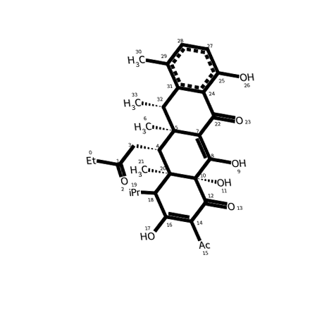 CCC(=O)C[C@@H]1[C@]2(C)C(=C(O)[C@@]3(O)C(=O)C(C(C)=O)=C(O)C(C(C)C)[C@@]13C)C(=O)c1c(O)ccc(C)c1[C@H]2C